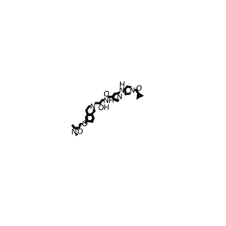 Cc1ncoc1COc1ccc2c(c1)CCN(CC(O)CNC(=O)c1ccnc(NC3CCN(C(=O)C4CC4)CC3)c1)C2